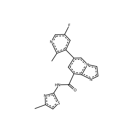 Cc1csc(NC(=O)c2cc(-c3cc(F)cnc3C)cn3ccnc23)n1